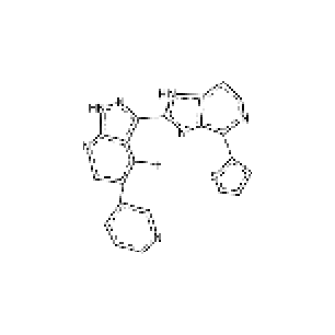 Fc1c(-c2cccnc2)cnc2[nH]nc(-c3nc4c(-c5cccs5)nccc4[nH]3)c12